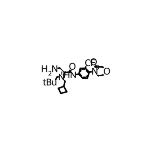 CC(C)(C)CN(CC1CCC1)[C@@H](CN)C(=O)Nc1ccc(N2CCOCC2=O)c(C(F)(F)F)c1